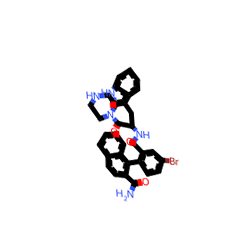 NC(=O)c1ccc2ccccc2c1-c1ccc(Br)cc1C(=O)NC(Cc1c[nH]c2ccccc12)C(=O)N1CCNCC1